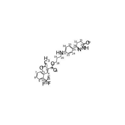 CC(=O)C(=Cc1ccccc1C(F)(F)F)C(=O)OCCCNc1ccc(C2=NNC(=O)CC2)cc1